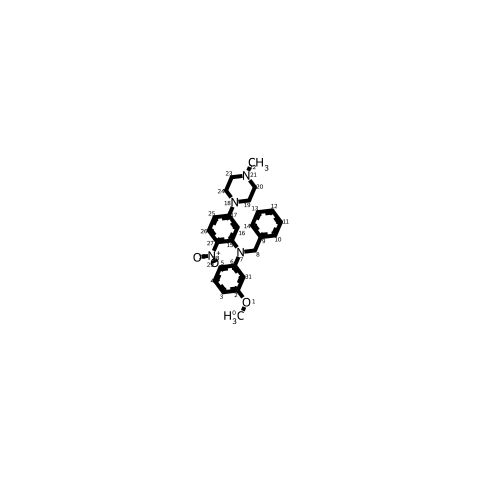 COc1cccc(N(Cc2ccccc2)c2cc(N3CCN(C)CC3)ccc2[N+](=O)[O-])c1